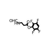 O=CNCCC(=O)Oc1c(F)c(F)cc(F)c1F